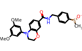 COc1cc(OC)cc(N2CCOc3cc(C(=O)NCc4ccc([S+](C)[O-])cc4)ccc32)c1